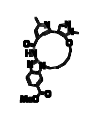 COC(=O)c1ccc2nc3n(c2c1)CCCCCOc1c(cnn1C)-c1cc(cc(C)n1)C(=O)N3